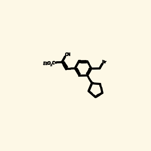 CCOC(=O)/C(C#N)=C/c1ccc(CBr)c(C2CCCC2)c1